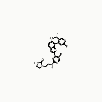 C[C@@H](N)c1cnc(F)cc1-c1cccc2cc(-c3nc(NCCN4CCNC4=O)ncc3F)sc12